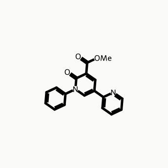 COC(=O)c1cc(-c2ccccn2)cn(-c2ccccc2)c1=O